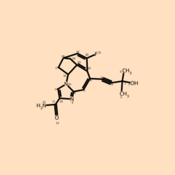 CC(C)(O)C#CC1=Cc2nc(C(N)=O)cn2C2CC3C=C(F)C1=C2C3